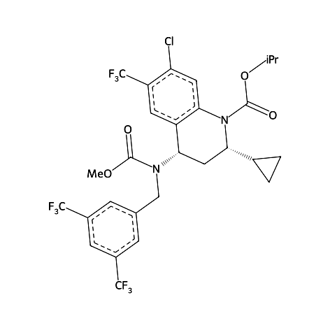 COC(=O)N(Cc1cc(C(F)(F)F)cc(C(F)(F)F)c1)[C@H]1C[C@@H](C2CC2)N(C(=O)OC(C)C)c2cc(Cl)c(C(F)(F)F)cc21